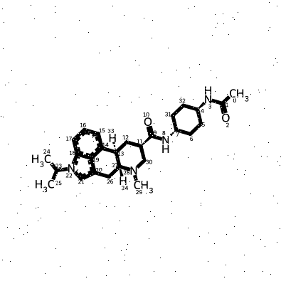 CC(=O)N[C@H]1CC[C@H](NC(=O)[C@@H]2C[C@@H]3c4cccc5c4c(cn5C(C)C)C[C@H]3N(C)C2)CC1